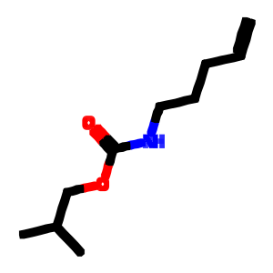 C=CCCCNC(=O)OCC(C)C